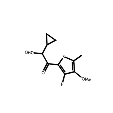 COc1c(C)sc(C(=O)C(C=O)C2CC2)c1F